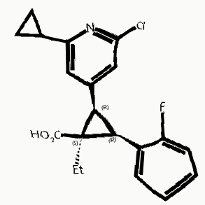 CC[C@@]1(C(=O)O)[C@H](c2ccccc2F)[C@@H]1c1cc(Cl)nc(C2CC2)c1